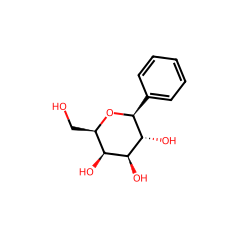 OC[C@H]1O[C@@H](c2ccccc2)[C@H](O)[C@@H](O)[C@H]1O